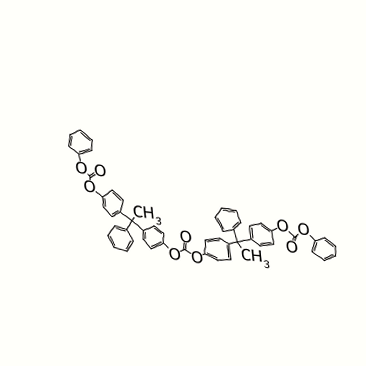 CC(c1ccccc1)(c1ccc(OC(=O)Oc2ccccc2)cc1)c1ccc(OC(=O)Oc2ccc(C(C)(c3ccccc3)c3ccc(OC(=O)Oc4ccccc4)cc3)cc2)cc1